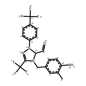 Cc1cc(CN2C(C(F)(F)F)=NN(c3ccc(C(F)(F)F)cc3)C2C=O)ccc1N